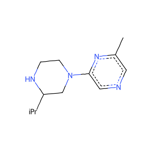 Cc1cncc(N2CCNC(C(C)C)C2)n1